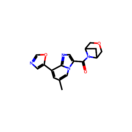 Cc1cc(-c2cnco2)c2ncc(C(=O)N3C4COCC3C4)n2c1